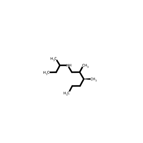 CCC[C@H](C)C(C)CNC(C)CC